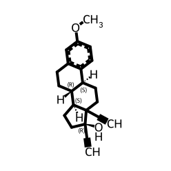 C#CC12CC[C@@H]3c4ccc(OC)cc4CC[C@H]3[C@@H]1CC[C@@]2(O)C#C